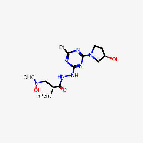 CCCCC[C@@H](CN(O)C=O)C(=O)NNc1nc(CC)nc(N2CC[C@@H](O)C2)n1